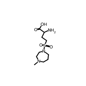 CN1CCCN(S(=O)(=O)CCC(N)C(=O)O)CC1